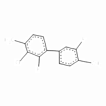 Cc1ccc(-c2ccc(C)c(Cl)c2F)cc1F